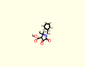 COC(=O)C1C(=O)C(=O)N(Cc2ccccc2)C1(C)C